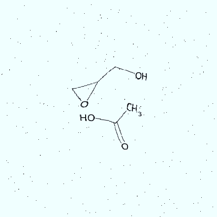 CC(=O)O.OCC1CO1